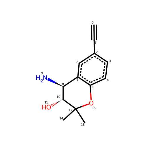 C#Cc1ccc2c(c1)[C@H](N)[C@@H](O)C(C)(C)O2